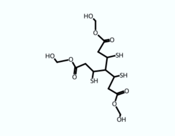 O=C(CC(S)C(C(S)CC(=O)OCO)C(S)CC(=O)OCO)OCO